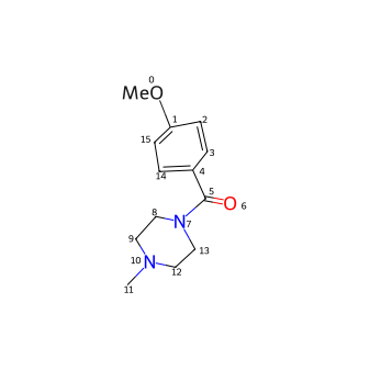 COc1ccc(C(=O)N2CCN(C)CC2)cc1